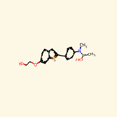 CB(O)N(C)c1ccc(-c2cc3ccc(OCCO)cc3s2)cc1